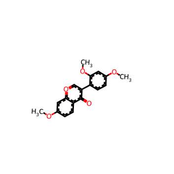 COc1ccc(-c2coc3cc(OC)ccc3c2=O)c(OC)c1